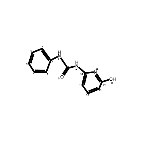 O=C(Nc1ccccc1)Nc1cccc(O)n1